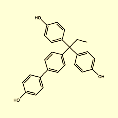 CCC(c1ccc(O)cc1)(c1ccc(O)cc1)c1ccc(-c2ccc(O)cc2)cc1